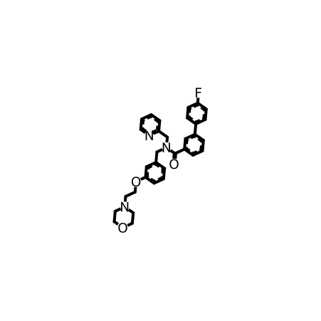 O=C(c1cccc(-c2ccc(F)cc2)c1)N(Cc1cccc(OCCN2CCOCC2)c1)Cc1ccccn1